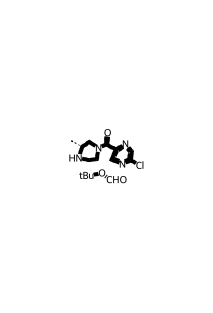 CC(C)(C)OC=O.C[C@@H]1CN(C(=O)c2cnc(Cl)cn2)CCN1